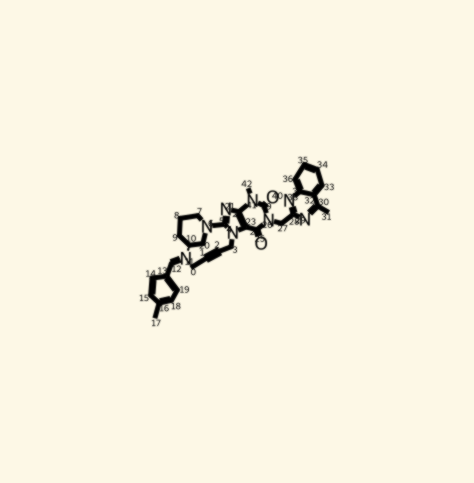 CC#CCn1c(N2CCC[C@@H](/N=C/c3ccc(C)cc3)C2)nc2c1c(=O)n(Cc1nc(C)c3ccccc3n1)c(=O)n2C